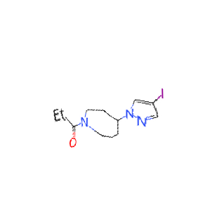 CCC(=O)N1CCC(n2cc(I)cn2)CC1